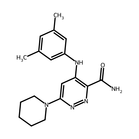 Cc1cc(C)cc(Nc2cc(N3CCCCC3)nnc2C(N)=O)c1